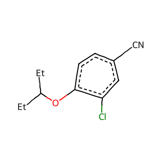 CCC(CC)Oc1ccc(C#N)cc1Cl